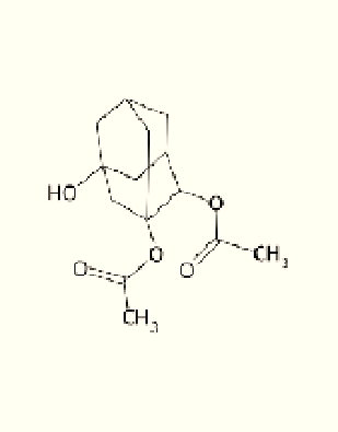 CC(=O)OC1C2CC3CC(O)(C2)CC1(OC(C)=O)C3